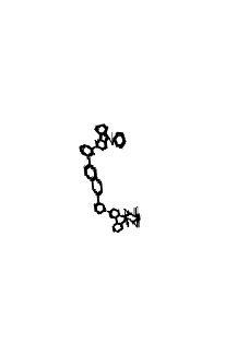 c1ccc(-n2c3ccccc3c3cc(-c4cccc(-c5ccc6cc(-c7cccc(-c8ccc9c(c8)c8ccccc8c8nccnc98)c7)ccc6c5)c4)ccc32)cc1